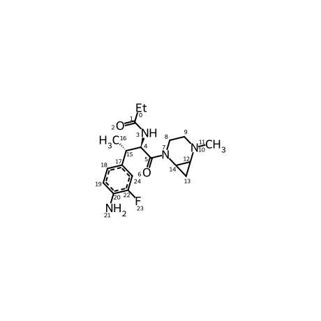 CCC(=O)N[C@@H](C(=O)N1CCN(C)C2CC21)[C@@H](C)c1ccc(N)c(F)c1